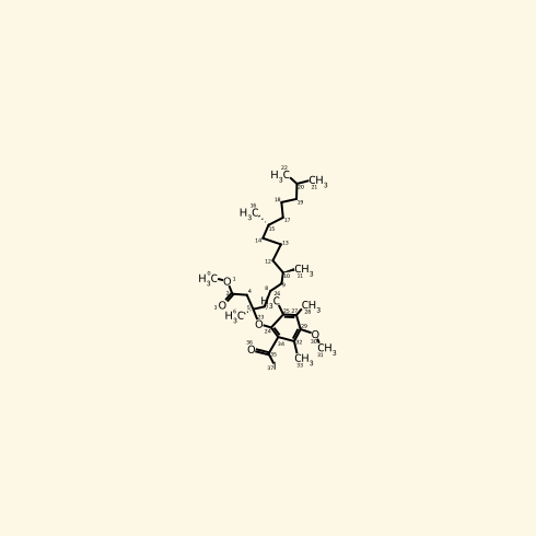 COC(=O)C[C@@](C)(CCC[C@H](C)CCC[C@H](C)CCCC(C)C)Oc1c(C)c(C)c(OC)c(C)c1C(=O)I